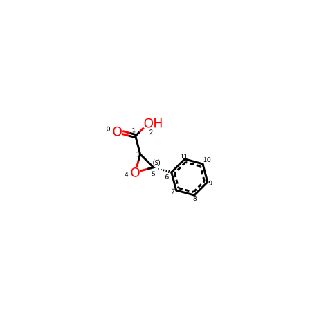 O=C(O)C1O[C@H]1c1ccccc1